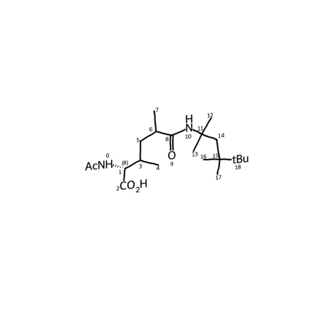 CC(=O)N[C@@H](C(=O)O)C(C)CC(C)C(=O)NC(C)(C)CC(C)(C)C(C)(C)C